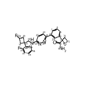 NC(=O)C1(c2cccc(-c3ccc(NCC4(c5ncccc5F)CC(F)C4)nn3)c2)[CH]CO1